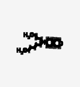 CCCCCCC(CCCC)N1CCC2(CCOCC2)CC1